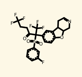 O=C(CCC(F)(F)F)C(c1ccc2c(c1)C1CC=NCC1O2)(C(F)(F)F)S(=O)(=O)c1cccc(F)c1